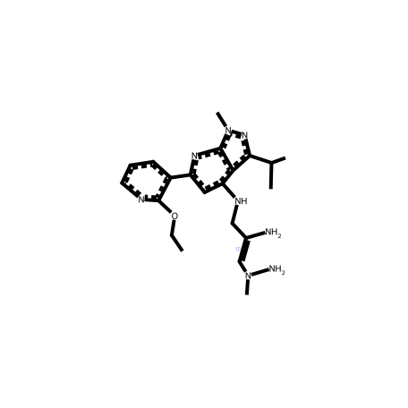 CCOc1ncccc1-c1cc(NC/C(N)=C/N(C)N)c2c(C(C)C)nn(C)c2n1